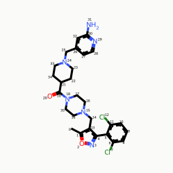 Cc1onc(-c2c(Cl)cccc2Cl)c1CN1CCN(C(=O)C2CCN(Cc3ccnc(N)c3)CC2)CC1